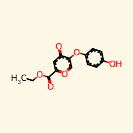 CCOC(=O)c1cc(=O)c(Oc2ccc(O)cc2)co1